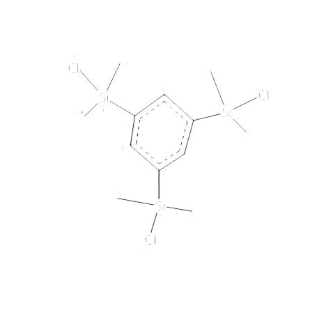 C[Si](C)(Cl)c1cc([Si](C)(C)Cl)cc([Si](C)(C)Cl)c1